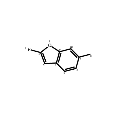 Cc1ccc2cc(F)oc2c1